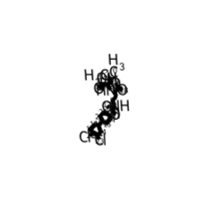 CC(C)CC(NC(CCNS(=O)(=O)c1ccc(-c2ccc(Cl)c(Cl)c2)cc1)C(=O)O)C(=O)O